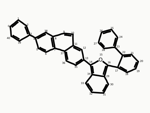 c1ccc(-c2ccc3c(ccc4cc(-c5oc(-c6ccccc6-c6ccccc6)c6ccccc56)ccc43)c2)cc1